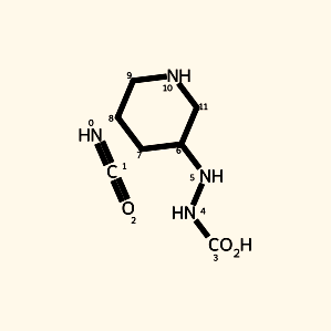 N=C=O.O=C(O)NNC1CCCNC1